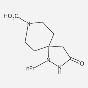 CCCN1NC(=O)CC12CCN(C(=O)O)CC2